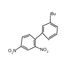 CCC(C)c1cc[c]c(-c2ccc([N+](=O)[O-])cc2[N+](=O)[O-])c1